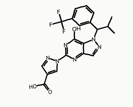 CC(C)C(c1cccc(C(F)(F)F)c1)n1ncc2nc(-n3cc(C(=O)O)cn3)nc(O)c21